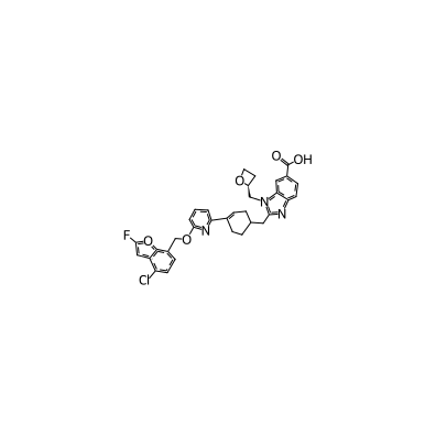 O=C(O)c1ccc2nc(CC3CC=C(c4cccc(OCc5ccc(Cl)c6cc(F)oc56)n4)CC3)n(C[C@@H]3CCO3)c2c1